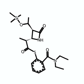 CCN(CC)C(=O)c1ccccc1SC(=O)C(C)[C@H]1NC(=O)[C@@H]1C(C)O[Si](C)(C)C